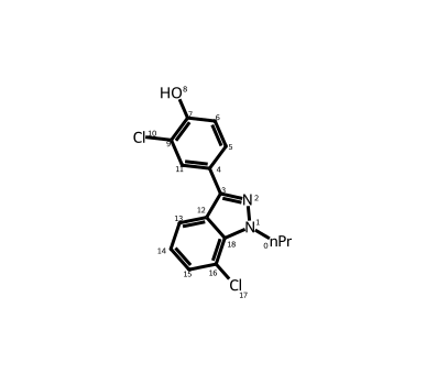 CCCn1nc(-c2ccc(O)c(Cl)c2)c2cccc(Cl)c21